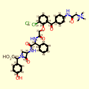 C[N+](C)(C)CC(=O)Nc1ccc(C(=O)c2cccc(Cl)c2OCC(=O)NC(C(=O)NC2CN(C(C(=O)O)c3ccc(O)cc3)C2=O)c2ccccc2)cc1.[Cl-]